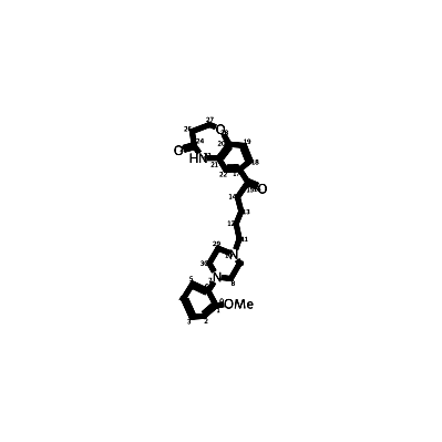 COc1ccccc1N1CCN(CCCCC(=O)c2ccc3c(c2)NC(=O)CCO3)CC1